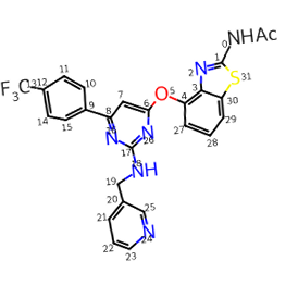 CC(=O)Nc1nc2c(Oc3cc(-c4ccc(C(F)(F)F)cc4)nc(NCc4cccnc4)n3)cccc2s1